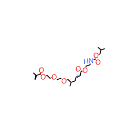 C=C(C)C(=O)OCCOCCOCC(C)C/C=C/C(=O)OCCNC(=O)OCC(C)C